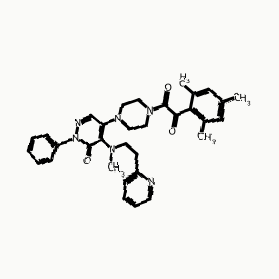 Cc1cc(C)c(C(=O)C(=O)N2CCN(c3cnn(-c4ccccc4)c(=O)c3N(C)CCc3ccccn3)CC2)c(C)c1